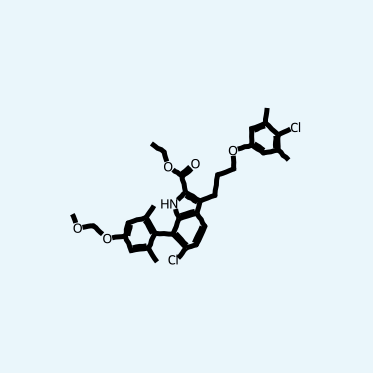 CCOC(=O)c1[nH]c2c(-c3c(C)cc(OCOC)cc3C)c(Cl)ccc2c1CCCOc1cc(C)c(Cl)c(C)c1